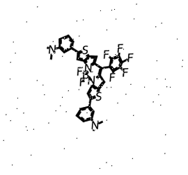 CN(C)c1cccc(-c2cc3c(s2)=CC2=C(c4c(F)c(F)c(F)c(F)c4F)c4cc5sc(-c6cccc(N(C)C)c6)cc5n4[B-](F)(F)[N+]=32)c1